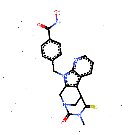 CN1C(=O)N2Cc3c(c4cccnc4n3Cc3ccc(C(=O)NO)cc3)C(C2)C1=S